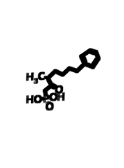 C[C@@H](CCCCc1ccccc1)C(=O)CP(=O)(O)O